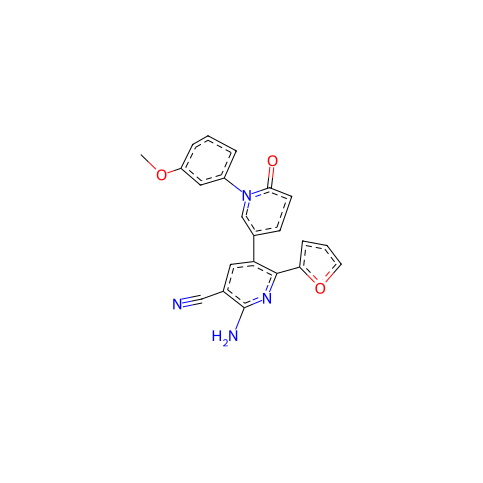 COc1cccc(-n2cc(-c3cc(C#N)c(N)nc3-c3ccco3)ccc2=O)c1